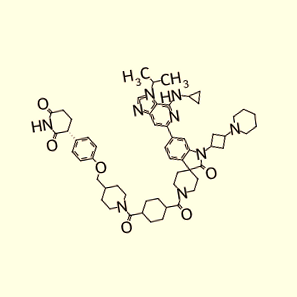 CC(C)n1cnc2cc(-c3ccc4c(c3)N(C3CC(N5CCCCC5)C3)C(=O)C43CCN(C(=O)C4CCC(C(=O)N5CCC(COc6ccc([C@H]7CCC(=O)NC7=O)cc6)CC5)CC4)CC3)nc(NC3CC3)c21